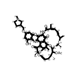 CC(=O)OC1C2C[C@H](C)CC(C)/C=C/C=C(/C)C(=O)Nc3c4oc5cc(OCC6CCN(C)C6)cc(O)c5nc-4c4c5c(c(C)c(c4c3=O)O2)O[C@](C)(O/C=C/C[C@H]1C)C5=O